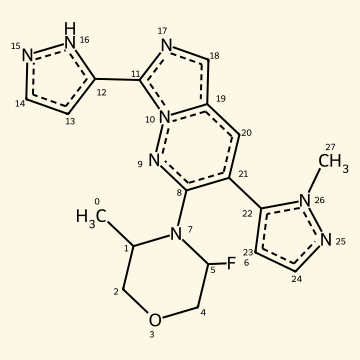 CC1COCC(F)N1c1nn2c(-c3ccn[nH]3)ncc2cc1-c1ccnn1C